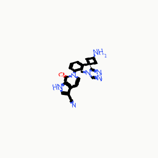 Cn1cnnc1[C@]1(c2cccc(-n3ccc4c(C#N)c[nH]c4c3=O)c2)C[C@@H](N)C1